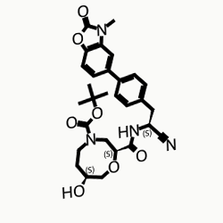 Cn1c(=O)oc2ccc(-c3ccc(C[C@@H](C#N)NC(=O)[C@@H]4CN(C(=O)OC(C)(C)C)CC[C@H](O)CO4)cc3)cc21